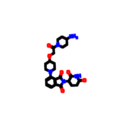 NC1CCN(C(=O)COC2CCN(c3cccc4c3C(=O)N(C3CCC(=O)NC3=O)C4=O)CC2)CC1